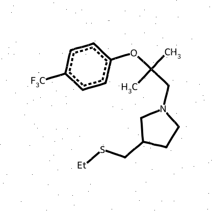 CCSCC1CCN(CC(C)(C)Oc2ccc(C(F)(F)F)cc2)C1